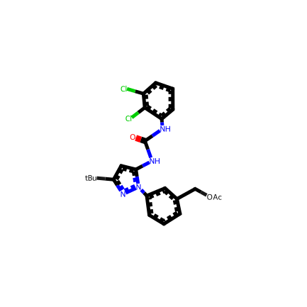 CC(=O)OCc1cccc(-n2nc(C(C)(C)C)cc2NC(=O)Nc2cccc(Cl)c2Cl)c1